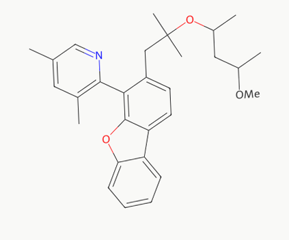 COC(C)CC(C)OC(C)(C)Cc1ccc2c(oc3ccccc32)c1-c1ncc(C)cc1C